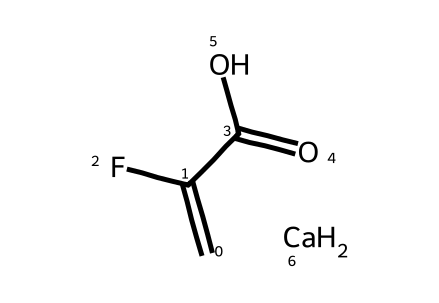 C=C(F)C(=O)O.[CaH2]